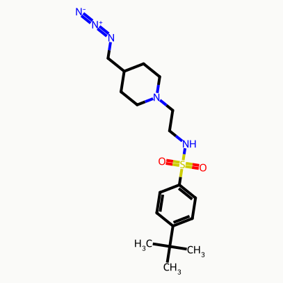 CC(C)(C)c1ccc(S(=O)(=O)NCCN2CCC(CN=[N+]=[N-])CC2)cc1